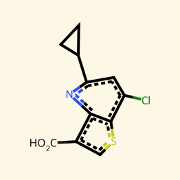 O=C(O)c1csc2c(Cl)cc(C3CC3)nc12